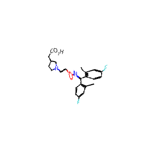 Cc1cc(F)ccc1C(=NOCCN1CCC(CC(=O)O)C1)c1ccc(F)cc1C